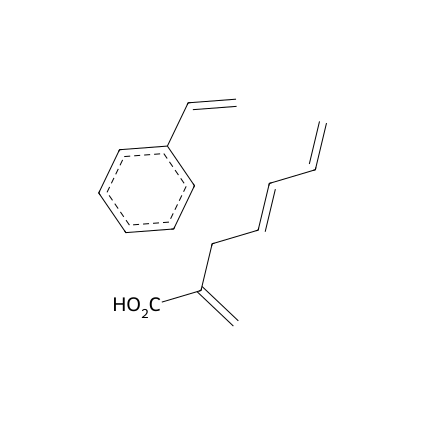 C=CC=CCC(=C)C(=O)O.C=Cc1ccccc1